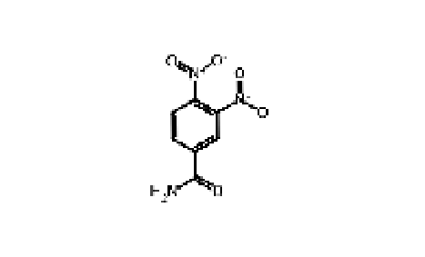 NC(=O)c1ccc([N+](=O)[O-])c([N+](=O)[O-])c1